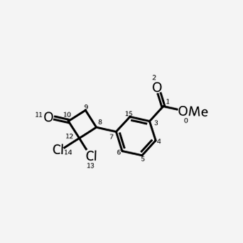 COC(=O)c1cccc(C2CC(=O)C2(Cl)Cl)c1